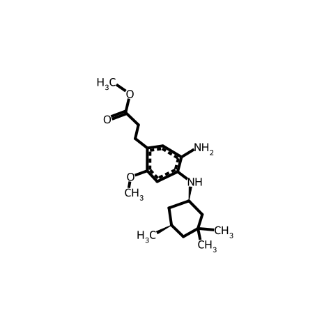 COC(=O)CCc1cc(N)c(N[C@@H]2C[C@H](C)CC(C)(C)C2)cc1OC